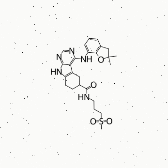 CC1(C)Cc2cccc(Nc3ncnc4[nH]c5c(c34)CC(C(=O)NCCCS(C)(=O)=O)CC5)c2O1